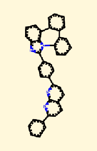 c1ccc(-c2ccc3ccc(-c4ccc(-c5nc6cccc7c6n5-c5ccccc5-c5ccccc5-7)cc4)nc3n2)cc1